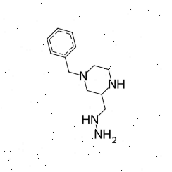 NNCC1CN(Cc2ccccc2)CCN1